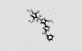 Cc1nn(S(=O)(=O)c2c(C)nn(C)c2Cl)cc1-c1nsc(Nc2ccccc2)n1